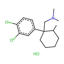 CC1CCCCC1(CN(C)C)c1ccc(Cl)c(Cl)c1.Cl